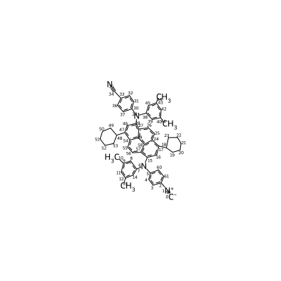 [C-]#[N+]c1ccc(N(c2cc(C)cc(C)c2)c2cc(C3CCCCC3)c3ccc4c(N(c5ccc(C#N)cc5)c5cc(C)cc(C)c5)cc(C5CCCCC5)c5ccc2c3c54)cc1